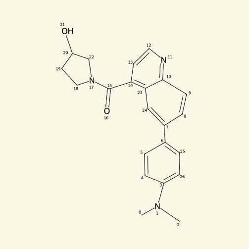 CN(C)c1ccc(-c2ccc3nccc(C(=O)N4CCC(O)C4)c3c2)cc1